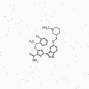 C[C@@H](Oc1cc(-n2cnc3ccc(OC[C@@H]4CCCN(C(=O)O)C4)cc32)sc1C(N)=O)c1ccccc1Cl